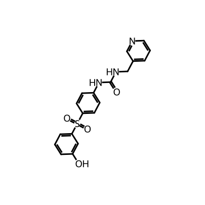 O=C(NCc1cccnc1)Nc1ccc(S(=O)(=O)c2cccc(O)c2)cc1